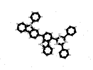 c1ccc(-c2nc(-c3ccccc3)nc(-c3ccc(-c4ccc5c6ccccc6n(-c6ccccc6)c5c4)c4oc5ccccc5c34)n2)cc1